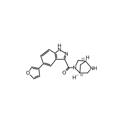 O=C(c1n[nH]c2ccc(-c3ccoc3)cc12)N1C[C@@H]2C[C@H]1CN2